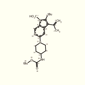 C=C(C)c1c(C(C)(C)C)n(C(=O)O)c2cnc(N3CCC(NC(=O)OC(C)(C)C)CC3)cc12